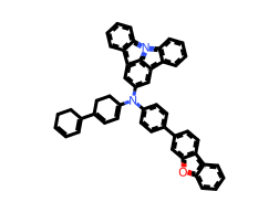 C1=CCCC(C2=CC=C(N(c3ccc(-c4ccc5c(c4)oc4ccccc45)cc3)c3cc4c5ccccc5n5c6ccccc6c(c3)c45)CC2)=C1